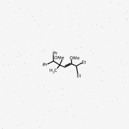 CCC(CC)/C(=C/C(C)(OC)C(C(C)C)C(C)C)OC